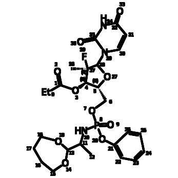 CCC(=O)O[C@@H]1[C@@H](COP(=O)(NC(C)C2OCCCCO2)Oc2ccccc2)OC(n2ccc(=O)[nH]c2=O)[C@]1(C)F